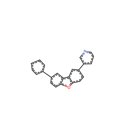 [c]1ccc(-c2ccc3oc4ccc(-c5cccnc5)cc4c3c2)cc1